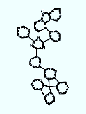 c1ccc(-c2nc(-c3cccc(-c4ccc5c(c4)C4(c6ccccc6-c6ccccc64)c4ccccc4-5)c3)nc(-c3ccccc3-c3cccc4oc5ccccc5c34)n2)cc1